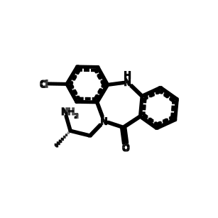 C[C@H](N)CN1C(=O)c2ccccc2Nc2ccc(Cl)cc21